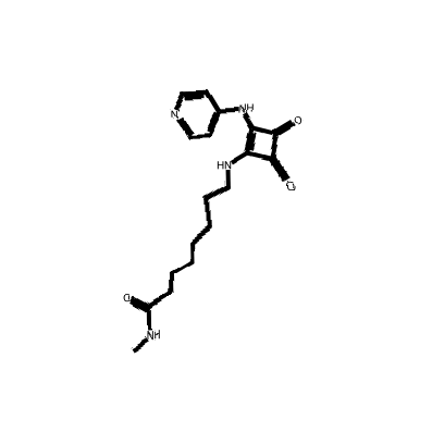 CNC(=O)CCCCCCCNc1c(Nc2ccncc2)c(=O)c1=O